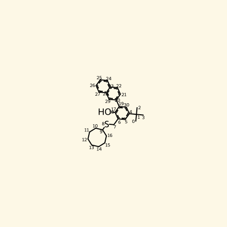 CC(C)(C)c1cc(CSC2CCCCCCC2)c(O)c(-c2ccc3ccccc3c2)c1